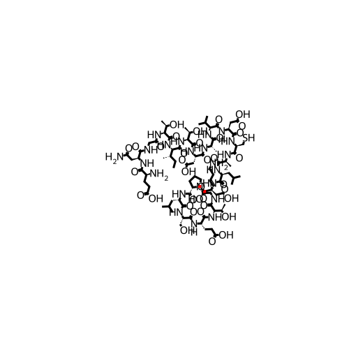 CC[C@H](C)[C@H](NC(=O)[C@@H](NC(=O)CNC(=O)[C@H](CC(N)=O)NC(=O)[C@@H](N)CCC(=O)O)[C@@H](C)O)C(=O)N[C@H](C(=O)N[C@@H](CC(=O)O)C(=O)N[C@@H](C)C(=O)N[C@H](C(=O)N[C@@H](CC(=O)O)C(=O)N[C@@H](CS)C(=O)N[C@@H](C)C(=O)N[C@@H](CC(C)C)C(=O)N[C@@H](CC(=O)O)C(=O)N1CCC[C@H]1C(=O)N[C@@H](CC(C)C)C(=O)N[C@@H](CO)C(=O)N[C@@H](CCC(=O)O)C(=O)N[C@H](C(=O)N[C@@H](CCCCN)C(=O)O)[C@@H](C)O)C(C)C)[C@@H](C)O